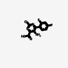 Nc1c(C(=O)O)nc(Cl)nc1-c1ccc(F)cc1F